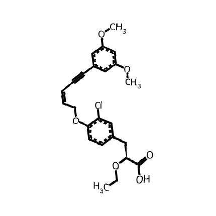 CCO[C@@H](Cc1ccc(OC/C=C\C#Cc2cc(OC)cc(OC)c2)c(Cl)c1)C(=O)O